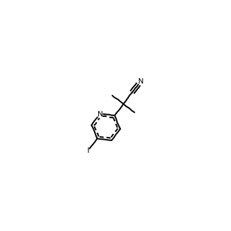 CC(C)(C#N)c1ccc(I)cn1